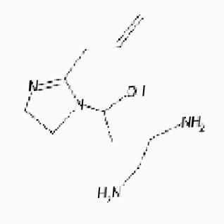 C=CCC1=NCCN1C(C)O.NCCN